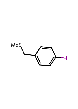 CSCc1ccc(I)cc1